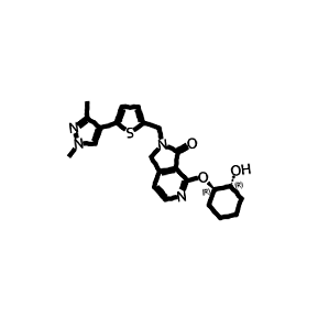 Cc1nn(C)cc1-c1ccc(CN2Cc3ccnc(O[C@@H]4CCCC[C@H]4O)c3C2=O)s1